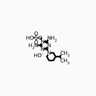 CC(C)C1CCCN(c2nc(N)[n+](OS(=O)(=O)O)c(N)n2)C1.[OH-]